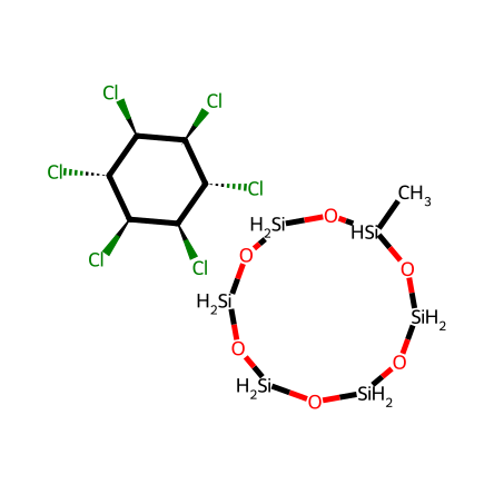 C[SiH]1O[SiH2]O[SiH2]O[SiH2]O[SiH2]O[SiH2]O1.Cl[C@H]1[C@H](Cl)[C@@H](Cl)[C@@H](Cl)[C@H](Cl)[C@H]1Cl